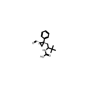 CC(C)(C)C(C[C@@]1(c2ccccc2)C[C@@H]1C=O)NC(=O)O